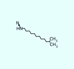 CC(C)CCCCCCCCCCNC#N